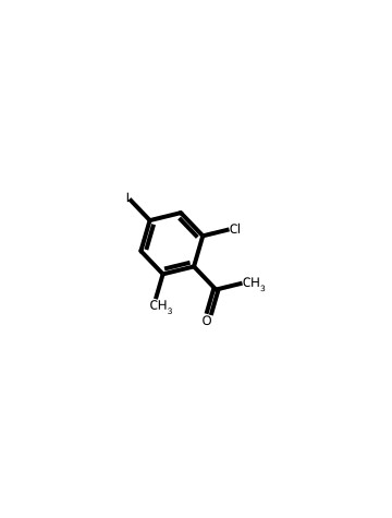 CC(=O)c1c(C)cc(I)cc1Cl